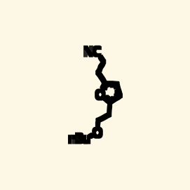 CCCCOCCc1ccc(CCC#N)o1